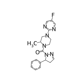 CC1CN(c2ncc(F)cn2)CCN1C(=O)N1N=CCC1c1ccccc1